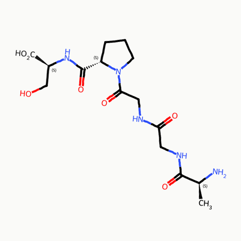 C[C@H](N)C(=O)NCC(=O)NCC(=O)N1CCC[C@H]1C(=O)N[C@@H](CO)C(=O)O